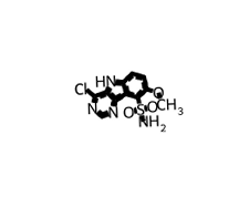 COc1ccc2[nH]c3c(Cl)ncnc3c2c1S(N)(=O)=O